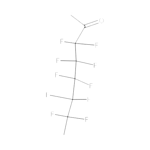 CC(=O)C(F)(F)C(F)(F)C(F)(F)C(F)(F)C(C)(F)F